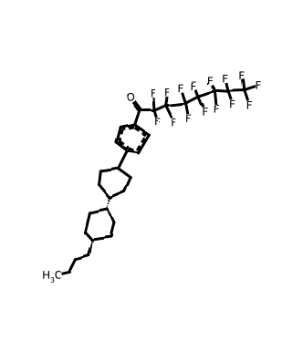 CCCC[C@H]1CC[C@H](C2CCC(c3ccc(C(=O)C(F)(F)C(F)(F)C(F)(F)C(F)(F)C(F)(F)C(F)(F)C(F)(F)F)cc3)CC2)CC1